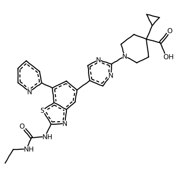 CCNC(=O)Nc1nc2cc(-c3cnc(N4CCC(C(=O)O)(C5CC5)CC4)nc3)cc(-c3ccccn3)c2s1